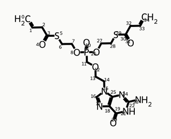 C=CCC(=O)SCCOP(=O)(COCCn1cnc2c(=O)[nH]c(N)nc21)OCCSC(=O)CC=C